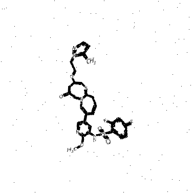 COc1ncc(C2=CN3CC(=O)C/C(OCCn4nccc4C)=C\N=C/3CC=C2)cc1NS(=O)(=O)c1ccc(F)cc1F